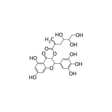 C=C(CC(O)C(O)CO)C(=O)OC1C(=O)c2c(O)cc(O)cc2OC1c1cc(O)c(O)c(O)c1